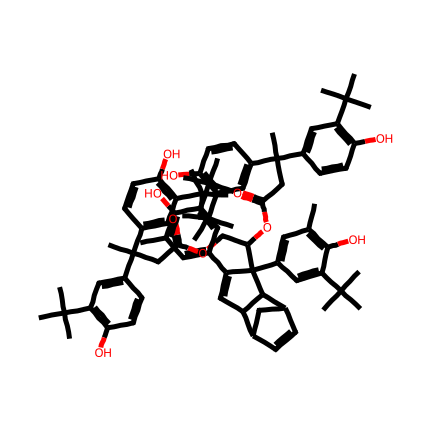 Cc1cc(C2=CC3C4C=CC(C4)C3C2(c2cc(C)c(O)c(C(C)(C)C)c2)C(COC(=O)CC(C)(c2ccc(O)c(C(C)(C)C)c2)c2ccc(O)c(C(C)(C)C)c2)OC(=O)CC(C)(c2ccc(O)c(C(C)(C)C)c2)c2ccc(O)c(C(C)(C)C)c2)cc(C(C)(C)C)c1O